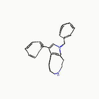 c1ccc(Cn2cc(-c3ccccc3)c3c2CCNCC3)cc1